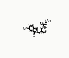 CC(C)(C)OC(=O)NC/C(=C\F)Cn1nc2ccc(Br)cn2c1=O